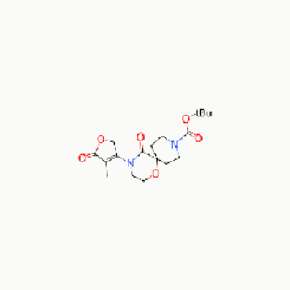 CC1=C(N2CCOC3(CCN(C(=O)OC(C)(C)C)CC3)C2=O)COC1=O